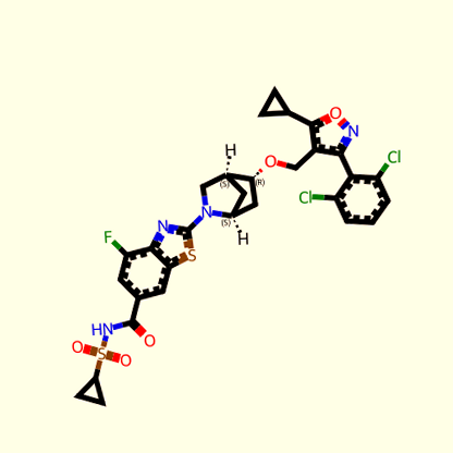 O=C(NS(=O)(=O)C1CC1)c1cc(F)c2nc(N3C[C@@H]4C[C@H]3C[C@H]4OCc3c(-c4c(Cl)cccc4Cl)noc3C3CC3)sc2c1